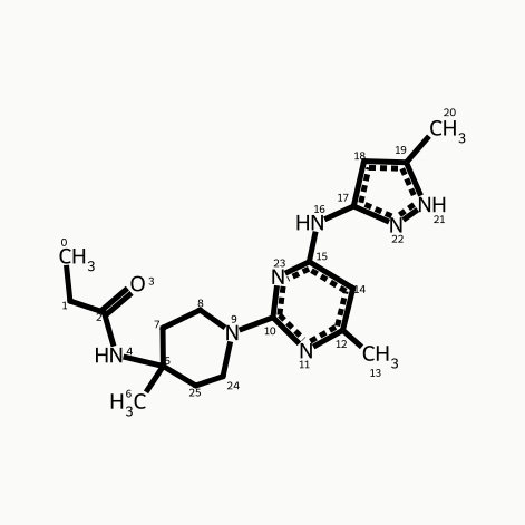 CCC(=O)NC1(C)CCN(c2nc(C)cc(Nc3cc(C)[nH]n3)n2)CC1